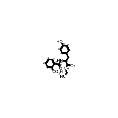 N#CCNC(=O)C(Cc1ccc(O)cc1)NC(=O)c1ccccc1C(=O)O